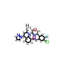 Cc1cc(-n2cccn2)c2cccc(OCc3cc(Cl)c(F)cc3[C@@H]3COCCN3)c2n1